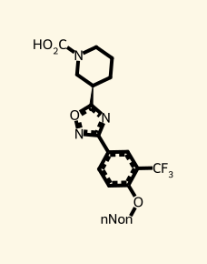 CCCCCCCCCOc1ccc(-c2noc([C@@H]3CCCN(C(=O)O)C3)n2)cc1C(F)(F)F